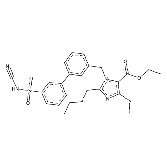 CCCCc1nc(SC)c(C(=O)OCC)n1Cc1cccc(-c2cccc(S(=O)(=O)NC#N)c2)c1